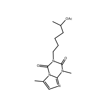 CC(=O)OC(C)CCCCn1c(=O)n(C)c2ncc(C)n2c1=O